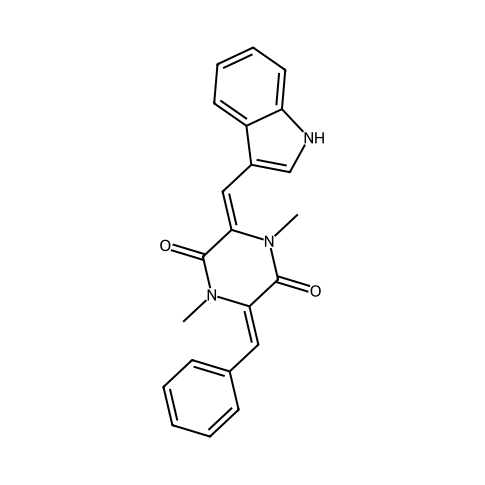 Cn1c(=O)c(=Cc2c[nH]c3ccccc23)n(C)c(=O)c1=Cc1ccccc1